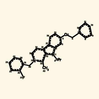 CCCn1c2cc(OCc3ccccc3)ccc2c2cc[n+](Cc3ccccc3F)c(C)c21